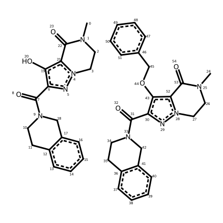 CN1CCn2nc(C(=O)N3CCc4ccccc4C3)c(O)c2C1=O.CN1CCn2nc(C(=O)N3CCc4ccccc4C3)c(OCc3ccccc3)c2C1=O